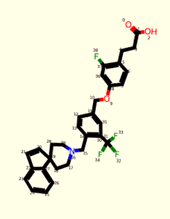 O=C(O)CCc1ccc(OCc2ccc(CN3CCC4(C=Cc5ccccc54)CC3)c(C(F)(F)F)c2)cc1F